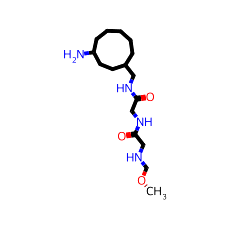 COCNCC(=O)NCC(=O)NCC1CCCCCC(N)CC1